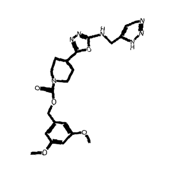 COc1cc(COC(=O)N2CCC(c3nnc(NCc4cnn[nH]4)o3)CC2)cc(OC)c1